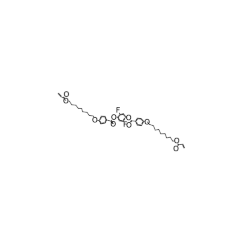 C=CC(=O)OCCCCCCCCCOc1ccc(C(=O)Oc2cc(F)c(OC(=O)c3ccc(OCCCCCCCCCOC(=O)C=C)cc3)cc2F)cc1